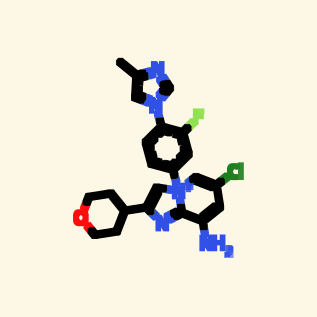 Cc1cn(-c2ccc([N+]34C=C(Cl)C=C(N)C3=NC(C3CCOCC3)=C4)cc2F)cn1